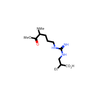 CCC(CNC(=N)NCCCC(NC)C(=O)OC)C(=O)O